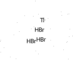 Br.Br.Br.[Tl]